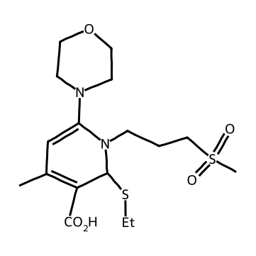 CCSC1C(C(=O)O)=C(C)C=C(N2CCOCC2)N1CCCS(C)(=O)=O